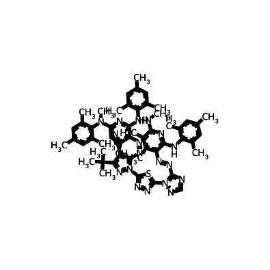 CNc1nc(Nc2c(C)cc(C)cc2C)c(N=Nc2ncnn2-c2nnc(-n3nc(C(C)(C)C)c(C#N)c3N=Nc3c(C)cc(N(C)c4c(C)cc(C)cc4C)nc3Nc3c(C)cc(C)cc3C)s2)c(C)c1C